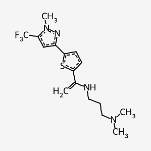 C=C(NCCCN(C)C)c1ccc(-c2cc(C(F)(F)F)n(C)n2)s1